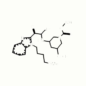 COCCCCn1c(C(=O)C(NC2CC(C(=O)O)CN(C(=O)OC(C)(C)C)C2)C(C)C)nc2ccccc21